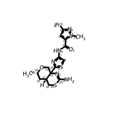 CC(C)c1cc(C(=O)Nc2csc(C34CO[C@@H](C)C[C@H]3CSC(N)=N4)n2)n(C)n1